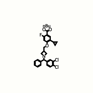 CCCCOC(=O)c1cc(C2CC2)c(OCC2CN(C(c3ccccc3)c3ccc(Cl)c(Cl)c3)C2)cc1F